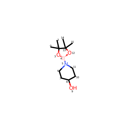 CC1(C)OB(N2CCC(O)CC2)OC1(C)C